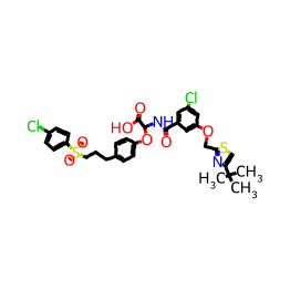 CC(C)(C)c1csc(COc2cc(Cl)cc(C(=O)NC(Oc3ccc(CCCS(=O)(=O)c4ccc(Cl)cc4)cc3)C(=O)O)c2)n1